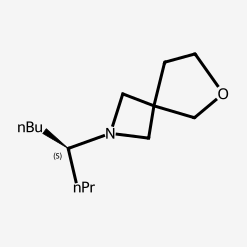 CCCC[C@H](CCC)N1CC2(CCOC2)C1